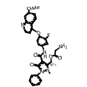 COc1ccc2c(Oc3ccc(NC(=O)c4c([C@@H](C)OC(=O)CN)n(C)n(-c5ccccc5)c4=O)cc3F)ccnc2c1